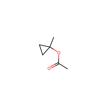 CC(=O)OC1(C)CC1